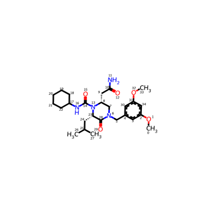 COc1cc(CN2C[C@@H](CC(N)=O)N(C(=O)NC3CCCCC3)[C@@H](CC(C)C)C2=O)cc(OC)c1